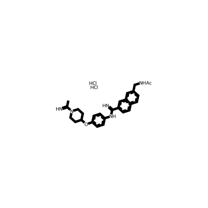 CC(=N)N1CCC(Oc2ccc(NC(=N)c3ccc4ccc(CNC(C)=O)cc4c3)cc2)CC1.Cl.Cl